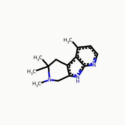 Cc1ccnc2[nH]c3c(c12)CC(C)(C)N(C)C3